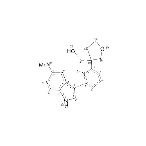 CNc1cc2c(-c3cccc(C4(CO)CCOC4)n3)c[nH]c2cn1